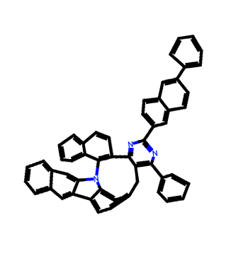 c1ccc(-c2ccc3cc(-c4nc(-c5ccccc5)c5c(n4)-c4ccc6ccccc6c4-n4c6cc(ccc6c6cc7ccccc7cc64)C5)ccc3c2)cc1